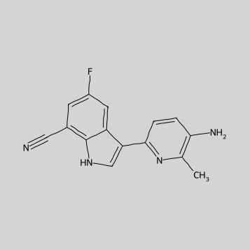 Cc1nc(-c2c[nH]c3c(C#N)cc(F)cc23)ccc1N